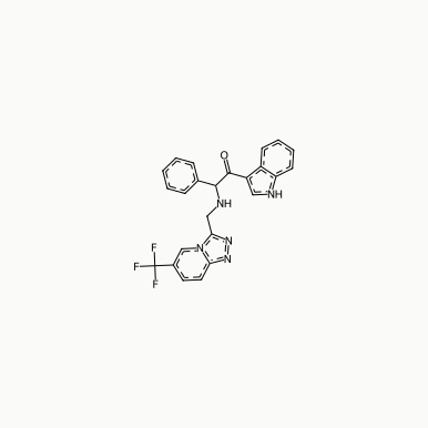 O=C(c1c[nH]c2ccccc12)C(NCc1nnc2ccc(C(F)(F)F)cn12)c1ccccc1